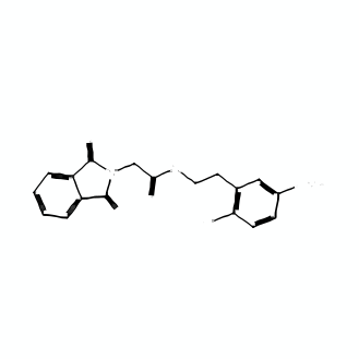 COc1ccc(Cl)c(CCNC(=O)CN2C(=O)c3ccccc3C2=O)c1